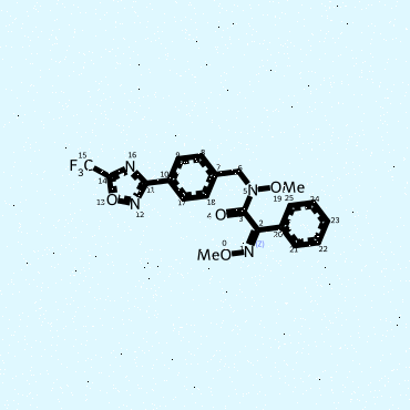 CO/N=C(\C(=O)N(Cc1ccc(-c2noc(C(F)(F)F)n2)cc1)OC)c1ccccc1